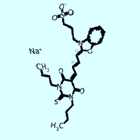 CCCCN1C(=O)C(=C/C=C/C=C2\Oc3ccccc3N2CCCS(=O)(=O)[O-])C(=O)N(CCCC)C1=S.[Na+]